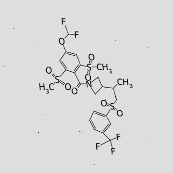 CC(CS(=O)(=O)c1cccc(C(F)(F)F)c1)C1CN(C(=O)c2c(S(C)(=O)=O)cc(OC(F)F)cc2S(C)(=O)=O)C1